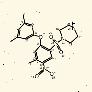 Cc1cc(C)cc(Oc2cc(C)c([N+](=O)[O-])cc2S(=O)(=O)N2CCNCC2)c1